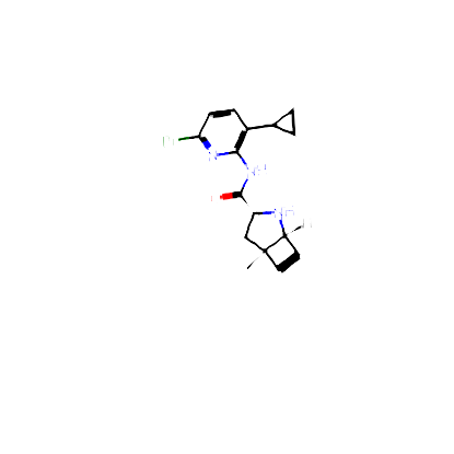 C[C@]12C#C[C@H]1N[C@H](C(=O)Nc1nc(Br)ccc1C1CC1)C2